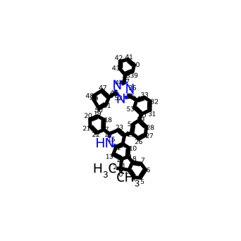 CC1(C)c2ccccc2-c2cc3c(cc21)NC(c1ccccc1)C=C3c1cccc(-c2cccc(-c3nc(-c4ccccc4)nc(-c4ccccc4)n3)c2)c1